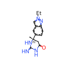 CCn1cc2cc([C@]3(C)CC(=O)NC(=N)N3)ccc2n1